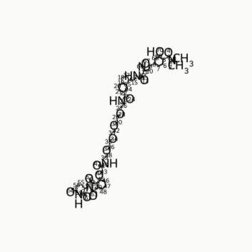 CN(C)C(=O)c1ccc(-c2cc(C(=O)NCC3CCc4ccc(C(=O)NCCOCCOCCOCCOCCNC(=O)COc5cccc6c5C(=O)N(C5CCC(=O)NC5=O)C6=O)cc43)no2)cc1O